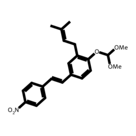 COC(OC)Oc1ccc(C=Cc2ccc([N+](=O)[O-])cc2)cc1CC=C(C)C